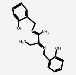 NCC(=N\Cc1ccccc1O)/C(N)=N/Cc1ccccc1O